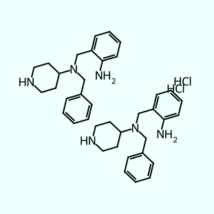 Cl.Cl.Nc1ccccc1CN(Cc1ccccc1)C1CCNCC1.Nc1ccccc1CN(Cc1ccccc1)C1CCNCC1